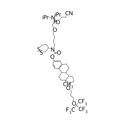 CC(C)N(C(C)C)P(COCCCCN(C(=O)Oc1ccc2c(c1)CCC1C2CCC2(C)C(OCCCOC(C(F)(F)F)(C(F)(F)F)C(F)(F)F)CCC12)C1CCSSC1)OCCC#N